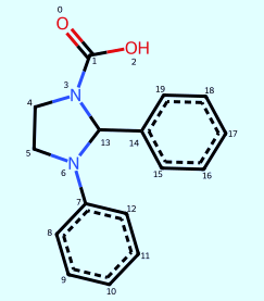 O=C(O)N1CCN(c2ccccc2)C1c1ccccc1